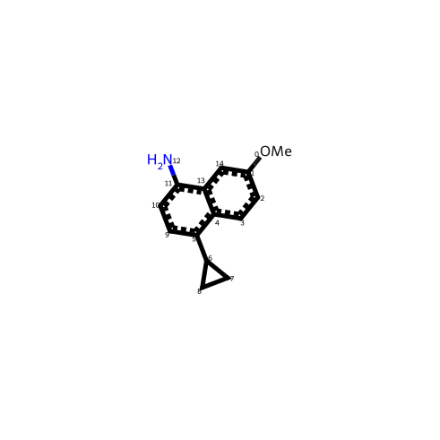 COc1ccc2c(C3CC3)ccc(N)c2c1